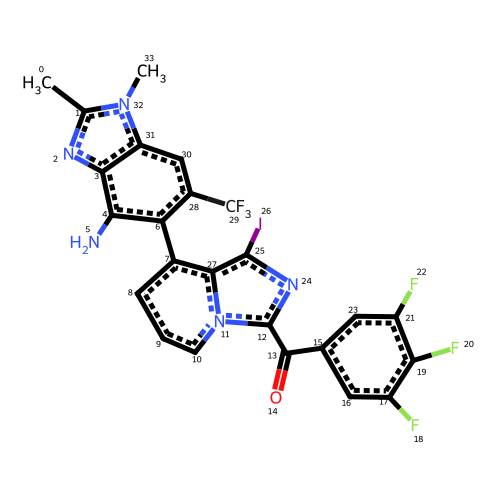 Cc1nc2c(N)c(-c3cccn4c(C(=O)c5cc(F)c(F)c(F)c5)nc(I)c34)c(C(F)(F)F)cc2n1C